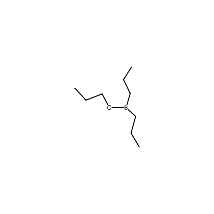 CCCOB(CCC)CCC